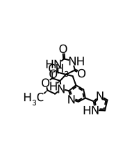 C[C@@H]1CN2c3ncc(-c4ncc[nH]4)cc3CC3(C(=O)NC(=O)NC3=O)[C@H]2[C@H](C)O1